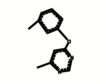 Cc1cccc(Oc2cc(C)ncn2)c1